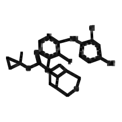 [C-]#[N+]c1ccc(Nc2nccc(OC3C4COCC3CN(C(=O)OC3(C)CC3)C4)c2F)c(Cl)c1